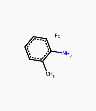 Cc1ccccc1N.[Fe]